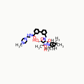 C[C@@H]1[C@@H](NC(=O)[C@@H]2[C@H]([C@H](C)O)[C@H](CO)ON2Cc2cccc(-c3cccc(C(=O)NCCN4CCN(C)CC4)c3)c2)C[C@H]2C[C@@H]1C2(C)C